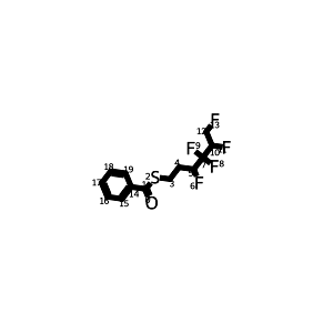 O=C(SCCC(F)C(F)(F)C(F)CF)c1ccccc1